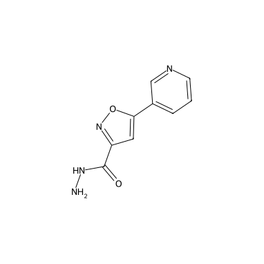 NNC(=O)c1cc(-c2cccnc2)on1